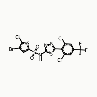 O=S(=O)(Nc1nnc(-c2c(Cl)cc(C(F)(F)F)cc2Cl)s1)c1cc(Br)c(Cl)s1